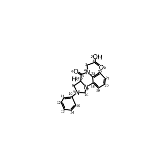 O=C(O)CN1C(=O)[C@@H]2CN(c3ccccc3)CN2c2ccccc21